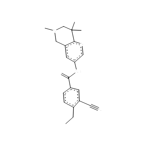 CCc1ccc(C(=O)Nc2cnc3c(c2)CN(C)CC3(C)C)cc1C#N